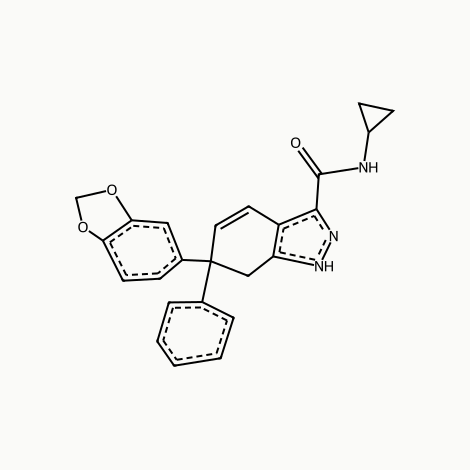 O=C(NC1CC1)c1n[nH]c2c1C=CC(c1ccccc1)(c1ccc3c(c1)OCO3)C2